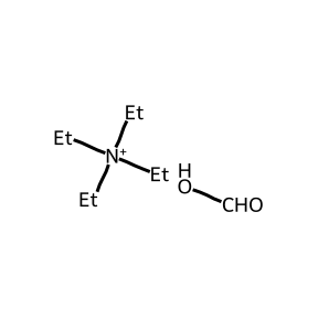 CC[N+](CC)(CC)CC.O=[C-]O